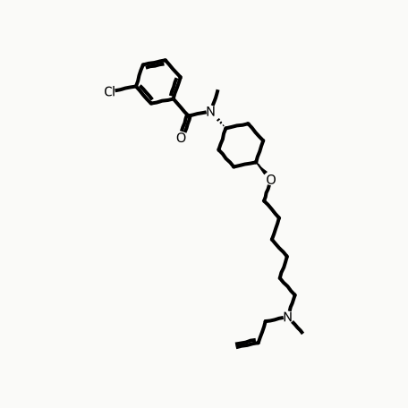 C=CCN(C)CCCCCCO[C@H]1CC[C@H](N(C)C(=O)c2cccc(Cl)c2)CC1